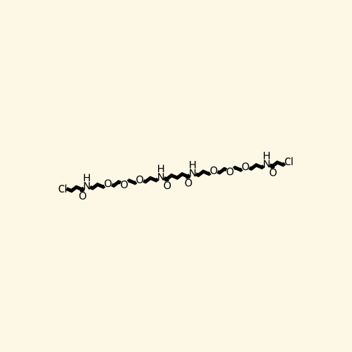 O=C(CCCl)NCCCOCCOCCOCCCNC(=O)CCCC(=O)NCCCOCCOCCOCCCNC(=O)CCCl